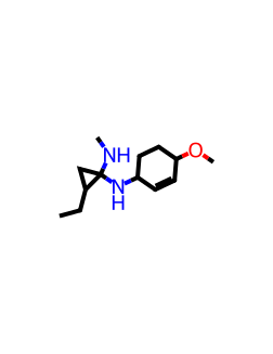 CCC1CC1(NC)NC1C=CC(OC)CC1